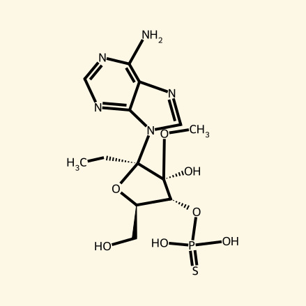 CC[C@@]1(n2cnc3c(N)ncnc32)O[C@H](CO)[C@@H](OP(O)(O)=S)[C@]1(O)OC